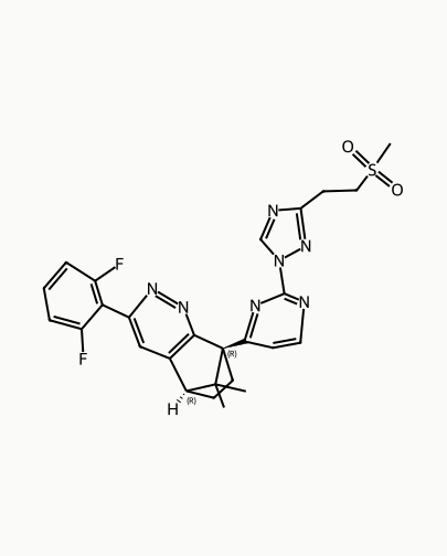 CC1(C)[C@H]2CC[C@@]1(c1ccnc(-n3cnc(CCS(C)(=O)=O)n3)n1)c1nnc(-c3c(F)cccc3F)cc12